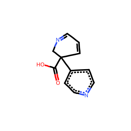 O=C(O)C1(c2ccncc2)C=CC=NC1